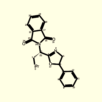 CC(C)C[C@@H](C1=NCC(c2ccccc2)O1)N1C(=O)c2ccccc2C1=O